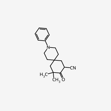 CC1(C)CC2(CCN(c3ccccc3)CC2)CC(C#N)C1=O